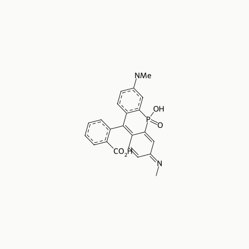 C/N=C1\C=CC2=C(c3ccccc3C(=O)O)c3ccc(NC)cc3P(=O)(O)C2=C1